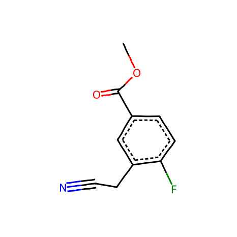 COC(=O)c1ccc(F)c(CC#N)c1